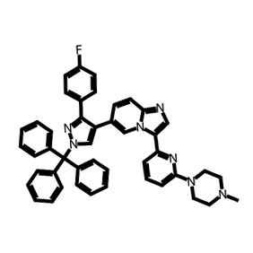 CN1CCN(c2cccc(-c3cnc4ccc(-c5cn(C(c6ccccc6)(c6ccccc6)c6ccccc6)nc5-c5ccc(F)cc5)cn34)n2)CC1